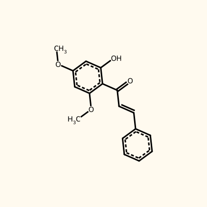 COc1cc(O)c(C(=O)C=Cc2ccccc2)c(OC)c1